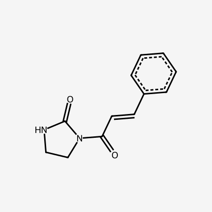 O=C(C=Cc1ccccc1)N1CCNC1=O